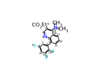 CCOC(=O)c1cnc2c(-c3cc(F)cc(F)c3F)cccc2c1N(C)C